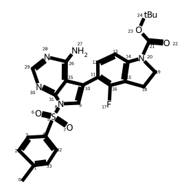 Cc1ccc(S(=O)(=O)n2cc(-c3ccc4c(c3F)CCN4C(=O)OC(C)(C)C)c3c(N)ncnc32)cc1